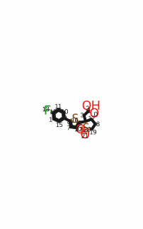 O=C(O)CC1(c2ccc(-c3ccc(F)cc3)s2)CCCS1(=O)=O